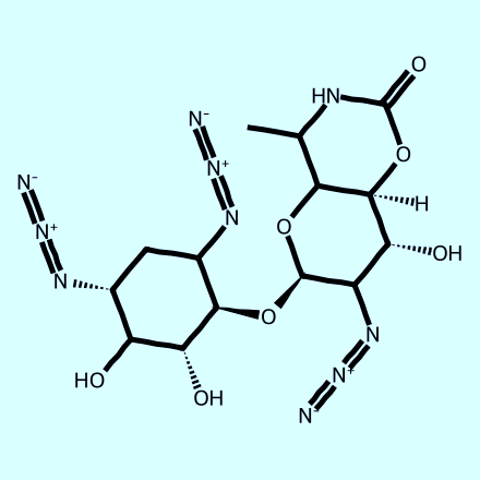 CC1NC(=O)O[C@@H]2C1O[C@H](O[C@@H]1C(N=[N+]=[N-])C[C@@H](N=[N+]=[N-])C(O)[C@H]1O)C(N=[N+]=[N-])[C@H]2O